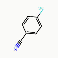 N#Cc1ccc([18F])cc1